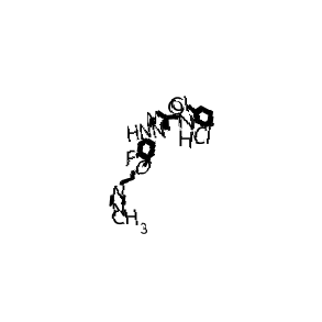 CN1CCN(CCCOc2ccc(Nc3ncc(C(=O)Nc4c(Cl)cccc4Cl)cn3)cc2F)CC1